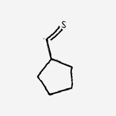 S=[C]C1CCCC1